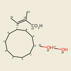 C1CCCCCCCCC1.CC=C(C)C(=O)O.CO.CO